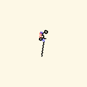 CCCCCCCCCCCCn1c(C)c(C=C2C(=O)ON=C2c2ccccc2)c2ccccc21